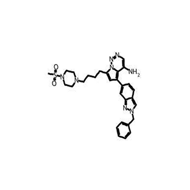 CS(=O)(=O)N1CCN(CCCCc2cc(-c3ccc4cn(Cc5ccccc5)nc4c3)c3c(N)cnnn23)CC1